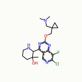 CN(C)CC1(COc2nc(C3NCCCC3(C)O)c3cnc(Cl)c(F)c3n2)CC1